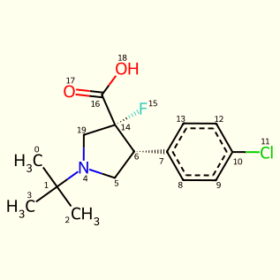 CC(C)(C)N1C[C@@H](c2ccc(Cl)cc2)[C@](F)(C(=O)O)C1